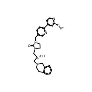 CC(C)Oc1cc(-c2ccc(CN3CCN(C[C@H](O)CN4CCc5ccccc5C4)C3=O)cn2)ccn1